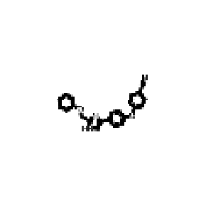 N#Cc1ccc(Oc2ccc(-c3c[nH]c(COc4ccccc4)n3)cc2)cc1